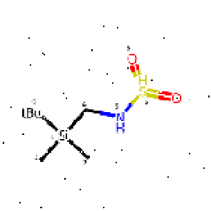 CC(C)(C)[Si](C)(C)CN[SH](=O)=O